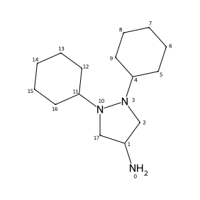 NC1CN(C2CCCCC2)N(C2CCCCC2)C1